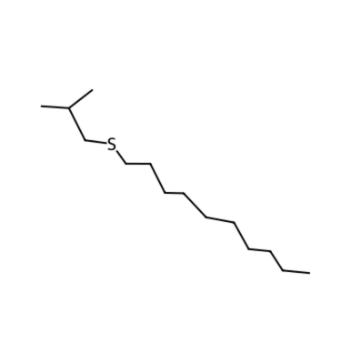 CCCCCCCCCCSCC(C)C